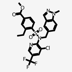 CCc1cc(C(=O)OC)ccc1S(=O)(=O)N(Cc1ccc2c(cnn2C)c1)c1ncc(C(F)(F)F)cc1Cl